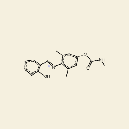 CNC(=O)Oc1cc(C)c(/N=C/c2ccccc2O)c(C)c1